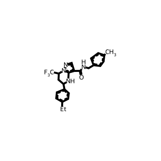 CCc1ccc(C2CC(C(F)(F)F)n3ncc(C(=O)NCc4ccc(C)cc4)c3N2)cc1